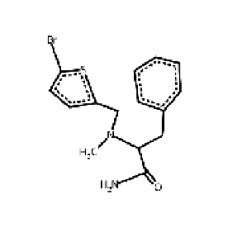 CN(Cc1ccc(Br)s1)C(Cc1ccccc1)C(N)=O